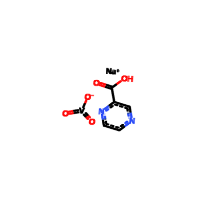 O=C(O)c1cnccn1.[Na+].[O]=[V](=[O])[O-]